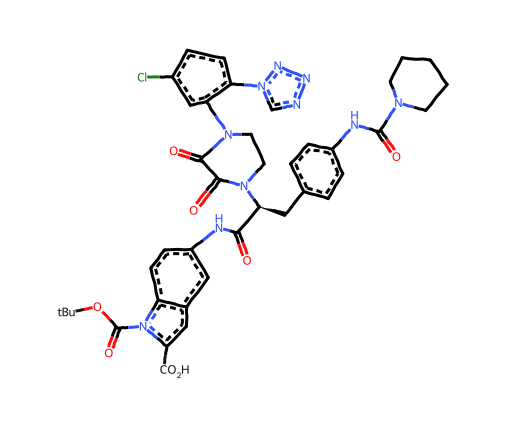 CC(C)(C)OC(=O)n1c(C(=O)O)cc2cc(NC(=O)[C@H](Cc3ccc(NC(=O)N4CCCCC4)cc3)N3CCN(c4cc(Cl)ccc4-n4cnnn4)C(=O)C3=O)ccc21